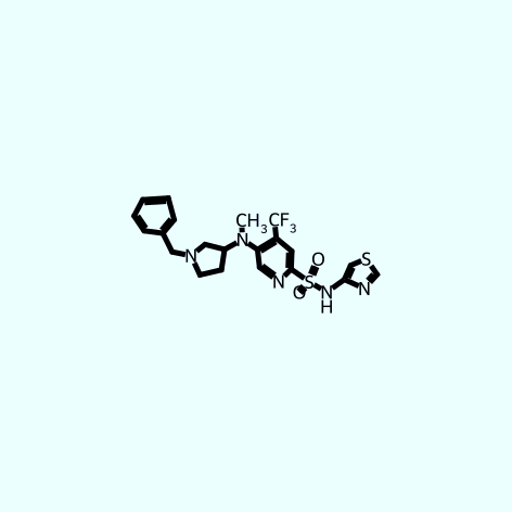 CN(c1cnc(S(=O)(=O)Nc2cscn2)cc1C(F)(F)F)C1CCN(Cc2ccccc2)C1